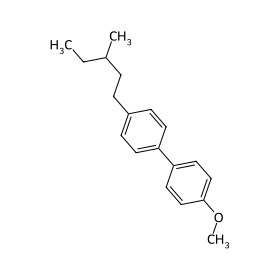 CCC(C)CCc1ccc(-c2ccc(OC)cc2)cc1